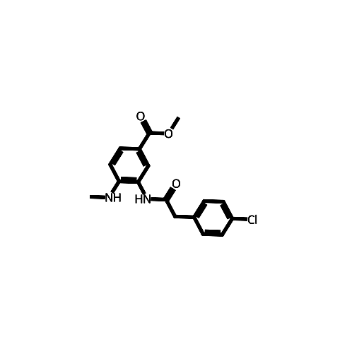 CNc1ccc(C(=O)OC)cc1NC(=O)Cc1ccc(Cl)cc1